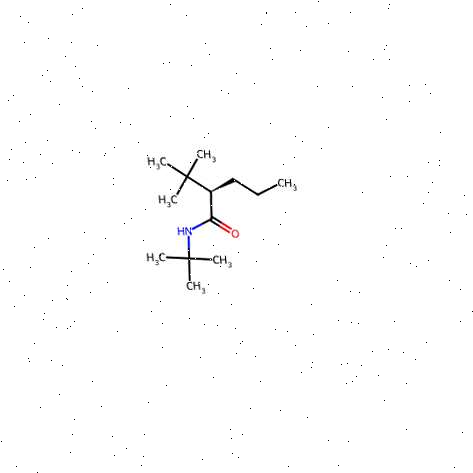 CCC[C@@H](C(=O)NC(C)(C)C)C(C)(C)C